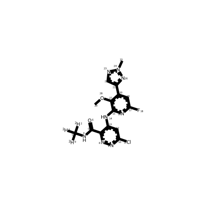 [2H]C([2H])([2H])NC(=O)c1nnc(Cl)cc1Nc1nc(F)cc(-c2cnn(C)n2)c1OC